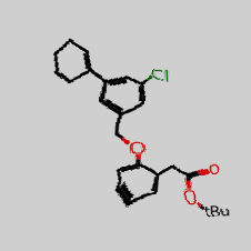 CC(C)(C)OC(=O)Cc1ccccc1OCc1cc(Cl)cc(C2=CCCCC2)c1